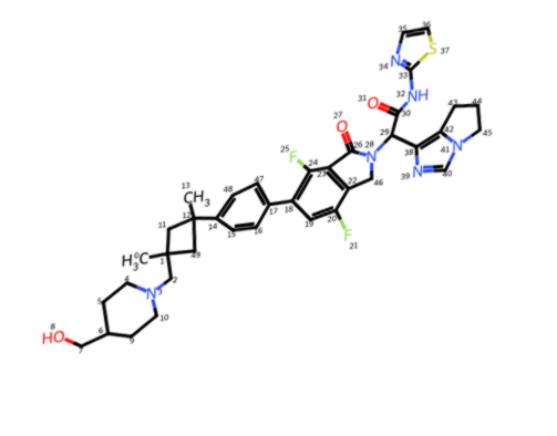 CC1(CN2CCC(CO)CC2)CC(C)(c2ccc(-c3cc(F)c4c(c3F)C(=O)N(C(C(=O)Nc3nccs3)c3ncn5c3CCC5)C4)cc2)C1